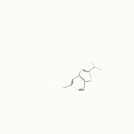 CC(O)c1nc2cc(CO)ccc2[nH]1